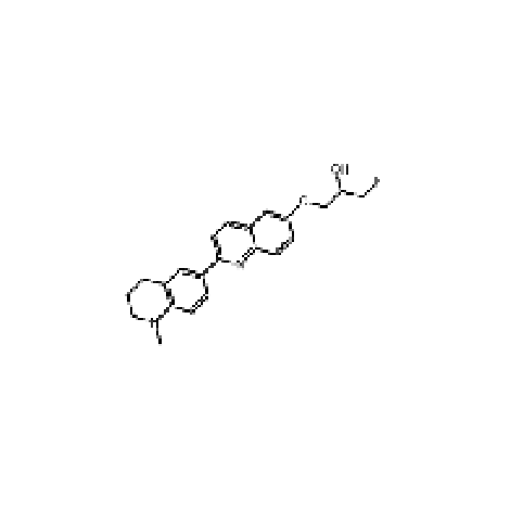 CN1CCCc2cc(-c3ccc4cc(OCC(O)CF)ccc4n3)ccc21